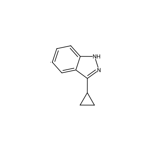 [c]1ccc2[nH]nc(C3CC3)c2c1